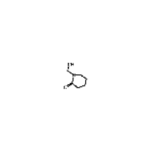 CCN1C[CH]CCC1=O